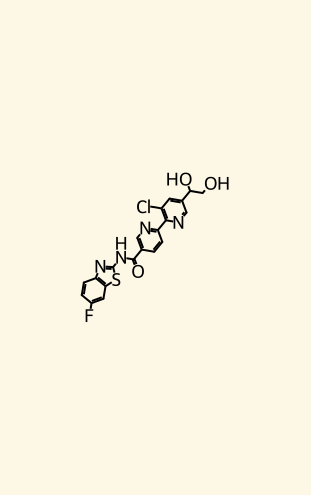 O=C(Nc1nc2ccc(F)cc2s1)c1ccc(-c2ncc(C(O)CO)cc2Cl)nc1